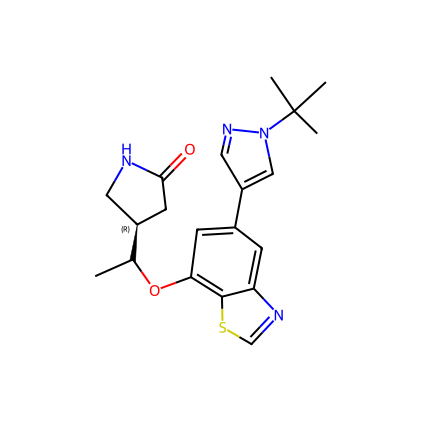 CC(Oc1cc(-c2cnn(C(C)(C)C)c2)cc2ncsc12)[C@H]1CNC(=O)C1